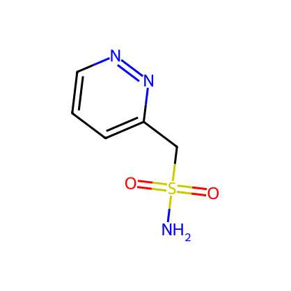 NS(=O)(=O)Cc1cccnn1